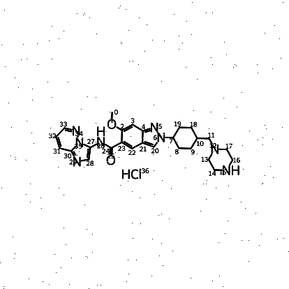 COc1cc2nn(C3CCC(CN4CCNCC4)CC3)cc2cc1C(=O)Nc1cnc2cccnn12.Cl